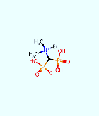 CC[N+](C)(C)C(P(=O)([O-])O)P(=O)(O)O